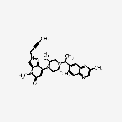 CC#CCn1cc2c(n1)c(N1C[C@@H](C)N([C@@H](C)c3ccc4ncc(C)nc4c3)C[C@@H]1C)cc(=O)n2C